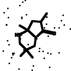 CC1CC2(C)NCC(C)(C)CN2C1=O